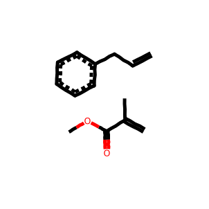 C=C(C)C(=O)OC.C=CCc1ccccc1